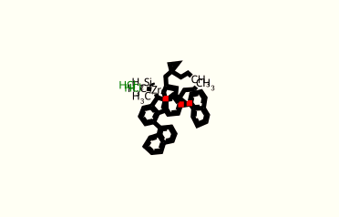 CCCC1(CC2=Cc3c(-c4cccc5ccccc45)cccc3[CH]2[Zr]([CH3])([CH3])(=[SiH2])[CH]2C(CC3(CCC)CC3)=Cc3c(-c4cccc5ccccc45)cccc32)CC1.Cl.Cl